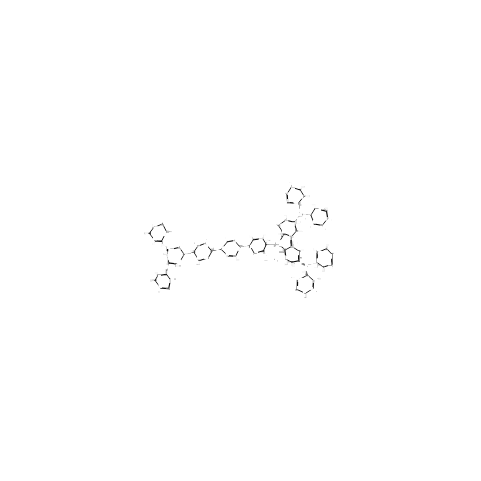 N#Cc1cc(-c2ccc(-c3ccc(-c4cc(-c5ccccc5)nc(-c5ccccc5)n4)cc3)cc2)ccc1-n1c2ccc(N(c3ccccc3)c3ccccc3)cc2c2cc(N(c3ccccc3)c3ccccc3)ccc21